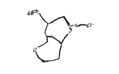 CC(C)C1C[S+]([O-])C2CCOC12